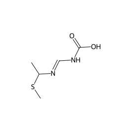 CSC(C)N=CNC(=O)O